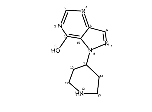 Oc1ncnc2cnn(C3CCNCC3)c12